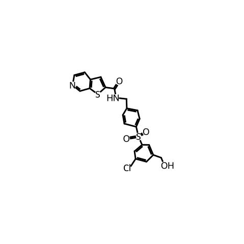 O=C(NCc1ccc(S(=O)(=O)c2cc(Cl)cc(CO)c2)cc1)c1cc2ccncc2s1